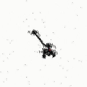 CC(C)(C)OC(=O)NCCOCCOCCOCCOCCC(=O)N[C@@H](CSCC(=O)N(CCCNC(=O)[C@H](CC(N)=O)NC(=O)Cc1ccncc1)[C@@H](c1cc(-c2cc(F)ccc2F)cn1Cc1ccccc1)C(C)(C)C)C(=O)OC(C)(C)C